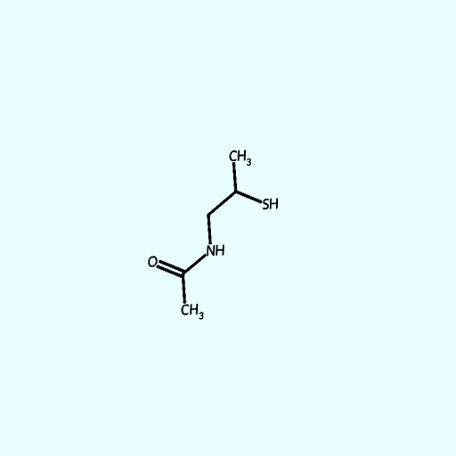 CC(=O)NCC(C)S